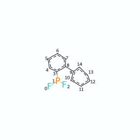 FP(F)c1ccccc1-c1ccccc1